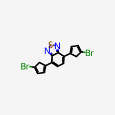 BrC1=CC=C(c2ccc(C3=CC=C(Br)C3)c3nsnc23)C1